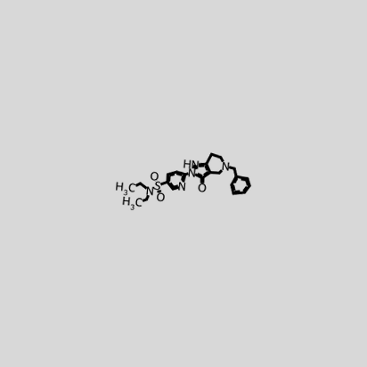 CCN(CC)S(=O)(=O)c1ccc(-n2[nH]c3c(c2=O)CN(Cc2ccccc2)CC3)nc1